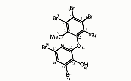 COc1c(Br)c(Br)c(Br)c(Br)c1Oc1cc(Br)cc(Br)c1O